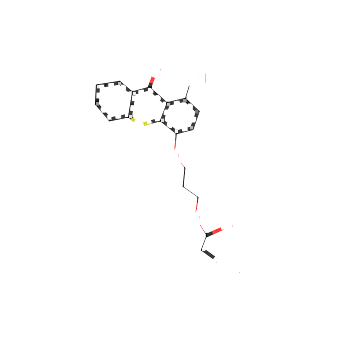 C=CC(=O)OCCCOc1ccc(C)c2c(=O)c3ccccc3sc12